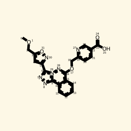 COCc1cc(-c2nnc3c4ccccc4c(OCc4ccc(C(=O)O)cn4)nn23)no1